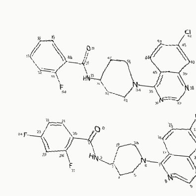 O=C(NC1CCN(c2ncnc3cc(Cl)ccc23)CC1)c1ccc(F)cc1F.O=C(NC1CCN(c2ncnc3cc(Cl)ccc23)CC1)c1ccccc1F